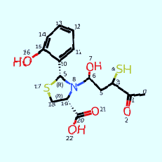 CC(=O)C(S)CC(O)N1[C@@H](c2ccccc2O)SC[C@H]1C(=O)O